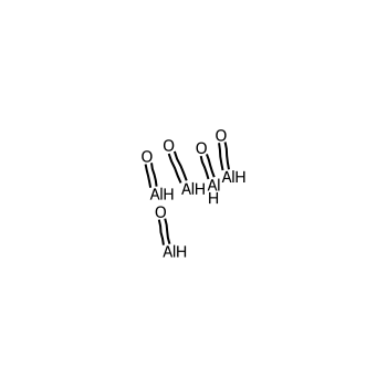 [O]=[AlH].[O]=[AlH].[O]=[AlH].[O]=[AlH].[O]=[AlH]